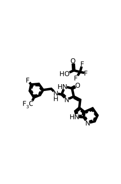 O=C(O)C(F)(F)F.O=C1NC(NCc2cc(F)cc(C(F)(F)F)c2)=NC1=Cc1c[nH]c2ncccc12